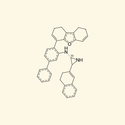 C1=Cc2oc3c(c2CC1)CCC=C3c1ccc(-c2ccccc2)cc1N[C@@H]1NC1C1=Cc2ccccc2CC1